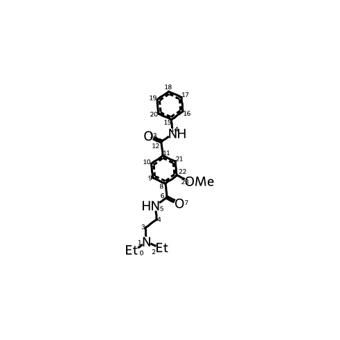 CCN(CC)CCNC(=O)c1ccc(C(=O)Nc2ccccc2)cc1OC